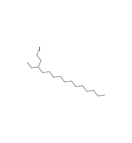 CCCCCCCCCCCCC(CC)CCI